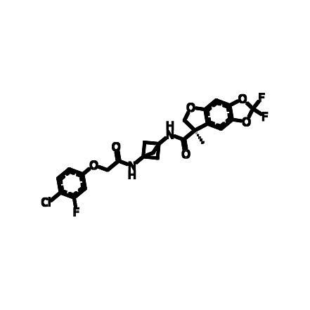 C[C@]1(C(=O)NC23CC(NC(=O)COc4ccc(Cl)c(F)c4)(C2)C3)COc2cc3c(cc21)OC(F)(F)O3